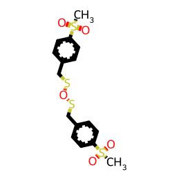 CS(=O)(=O)c1ccc(CSOSCc2ccc(S(C)(=O)=O)cc2)cc1